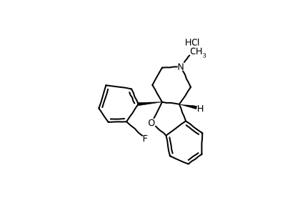 CN1CC[C@@]2(c3ccccc3F)Oc3ccccc3[C@H]2C1.Cl